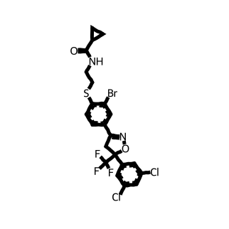 O=C(NCCSc1ccc(C2=NOC(c3cc(Cl)cc(Cl)c3)(C(F)(F)F)C2)cc1Br)C1CC1